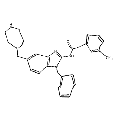 Cc1cccc(C(=O)Nc2nc3cc(CN4CCNCC4)ccc3n2-c2ccccc2)c1